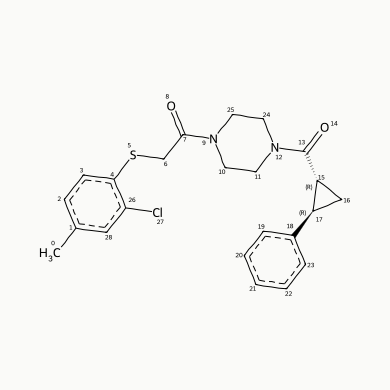 Cc1ccc(SCC(=O)N2CCN(C(=O)[C@@H]3C[C@H]3c3ccccc3)CC2)c(Cl)c1